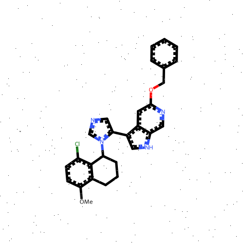 COc1ccc(Cl)c2c1CCCC2n1cncc1-c1c[nH]c2cnc(OCc3ccccc3)cc12